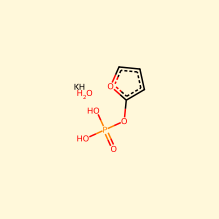 O.O=P(O)(O)Oc1ccco1.[KH]